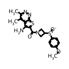 COc1ccc([S+]([O-])C2CN(C(=O)c3sc4nnc(C)c(C)c4c3N)C2)cc1